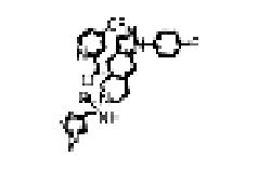 Cn1cc(S(=N)(=O)N2CCC3=Cc4c(cnn4-c4ccc(F)cc4)C[C@]3(C(=O)c3cc(C(F)(F)F)ccn3)C2)cn1